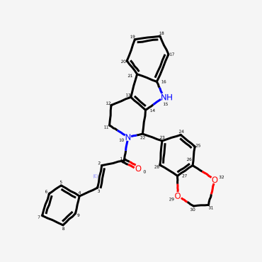 O=C(/C=C/c1ccccc1)N1CCc2c([nH]c3ccccc23)C1c1ccc2c(c1)OCCO2